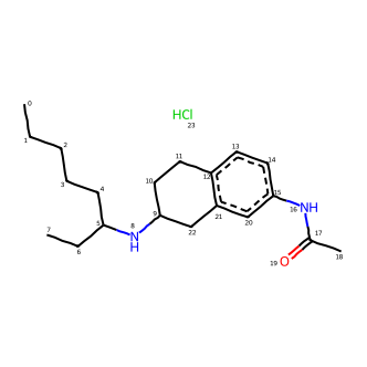 CCCCCC(CC)NC1CCc2ccc(NC(C)=O)cc2C1.Cl